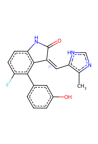 Cc1nc[nH]c1/C=C1\C(=O)Nc2ccc(F)c(-c3cccc(O)c3)c21